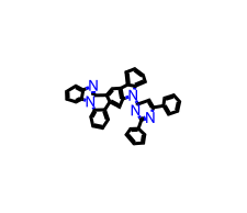 c1ccc(-c2cc(-n3c4ccccc4c4cc5c(cc43)c3ccccc3n3c4ccccc4nc53)nc(-c3ccccc3)n2)cc1